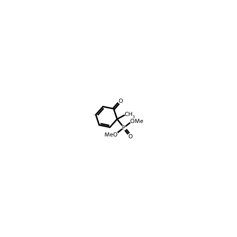 COP(=O)(OC)C1(C)C=C[C]=CC1=O